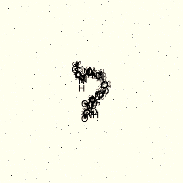 CC1(Oc2ccc3[nH]nc(-c4cc(N5CCN(C[C@H]6CC[C@H](OC7CCN(c8ccc9c(c8F)CN(C8CCC(=O)NC8=O)C9=O)CC7)CC6)C(C)(C)C5)ncn4)c3c2)CC1